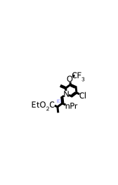 C=C1C(OC(F)(F)F)=CC(Cl)=CN1/C=C(\CCC)C(C)C(=O)OCC